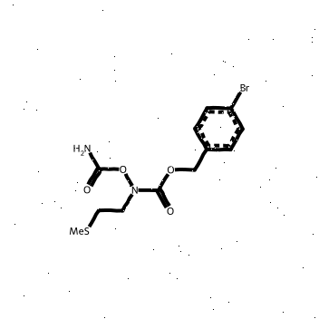 CSCCN(OC(N)=O)C(=O)OCc1ccc(Br)cc1